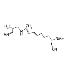 CNC(CC#N)CCC/C=C/C=C(\C)NCC(C)C=N